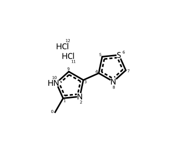 Cc1nc(-c2cscn2)c[nH]1.Cl.Cl